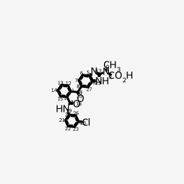 CN(C(=O)O)c1nc2ccc(C(=O)c3ccccc3C(=O)Nc3cccc(Cl)c3)cc2[nH]1